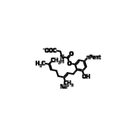 CCCCCc1cc(O)c(C/C=C(\C)CCC=C(C)C)c(OC(=O)NCC(=O)[O-])c1.[Na+]